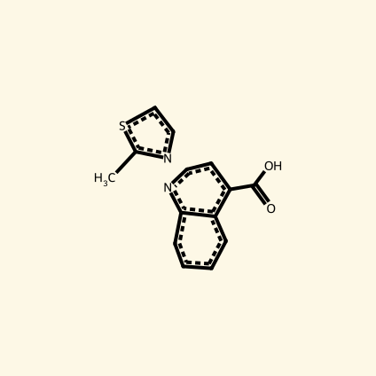 Cc1nccs1.O=C(O)c1ccnc2ccccc12